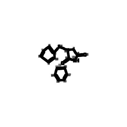 O=C1CN(Sc2ccccc2)C(=O)N1.c1ccccc1